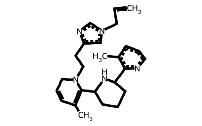 C=CCn1cnc(CCN2CC=CC(C)=C2C2CCCC(c3ncccc3C)N2)c1